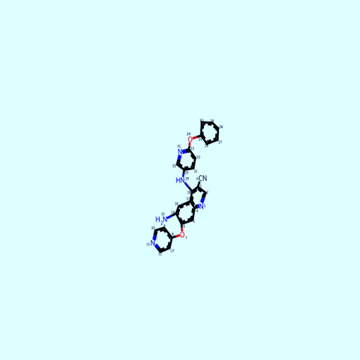 N#Cc1cnc2cc(Oc3ccncc3)c(N)cc2c1Nc1ccc(Oc2ccccc2)nc1